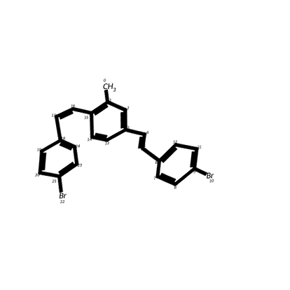 Cc1cc(/C=C/c2ccc(Br)cc2)ccc1/C=C\c1ccc(Br)cc1